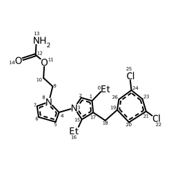 CCc1cn(-c2cccn2CCOC(N)=O)c(CC)c1Cc1cc(Cl)cc(Cl)c1